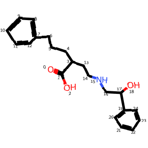 O=C(O)C(CCCc1ccccc1)CCNCC(O)c1ccccc1